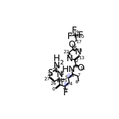 C=C(/C(F)=C\C=C(/CC)NC(=O)c1cnc(OCC(F)(F)F)cn1)[C@]1(C)C=CSC(N)=N1